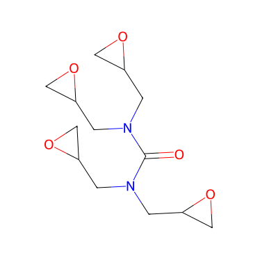 O=C(N(CC1CO1)CC1CO1)N(CC1CO1)CC1CO1